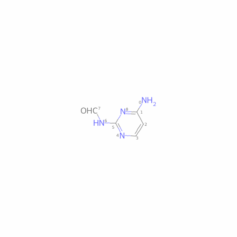 Nc1ccnc(NC=O)n1